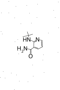 CC(C)(C)Nc1ncccc1C(N)=O